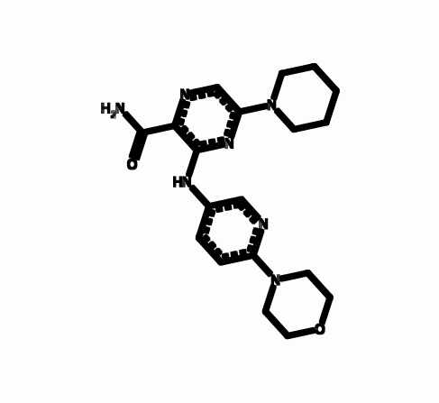 NC(=O)c1ncc(N2CCCCC2)nc1Nc1ccc(N2CCOCC2)nc1